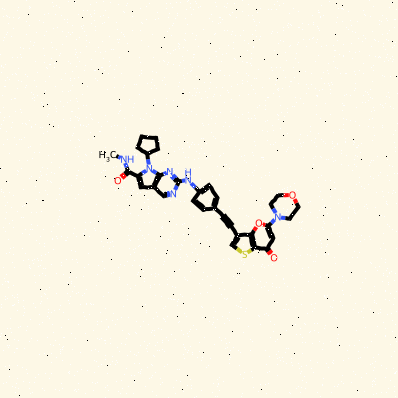 CNC(=O)c1cc2cnc(Nc3ccc(C#Cc4csc5c(=O)cc(N6CCOCC6)oc45)cc3)nc2n1C1CCCC1